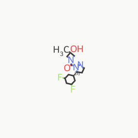 CC1(O)CN(C(=O)N2N=CC[C@H]2C2CC(F)CC(F)C2)C1